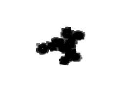 c1ccc(-c2ccc3c(ccc4oc5c(ccc6c5c5cc(N(c7ccccc7)c7ccccc7)ccc5n6-c5nc(-c6ccccc6)c6ccccc6n5)c43)c2)cc1